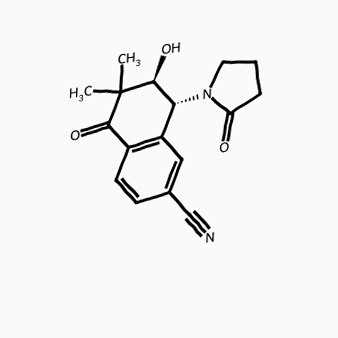 CC1(C)C(=O)c2ccc(C#N)cc2[C@@H](N2CCCC2=O)[C@@H]1O